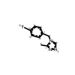 Cc1nncn1Cc1ccc(F)cc1